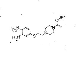 C=C(OC(C)C)N1CCN(CCSc2ccc(N)c(N)c2)CC1